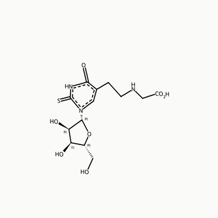 O=C(O)CNCCc1cn([C@@H]2O[C@H](CO)[C@@H](O)[C@H]2O)c(=S)[nH]c1=O